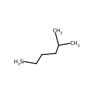 CC(C)CCC[SiH3]